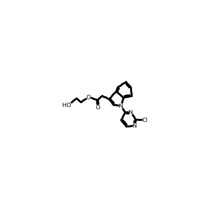 O=C(Cc1cn(-c2ccnc(Cl)n2)c2ccccc12)OCCO